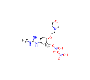 CNC(=N)Nc1ccc(OCCN2CCOCC2)c(C)c1.O=[N+]([O-])O.O=[N+]([O-])O